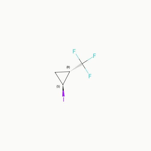 FC(F)(F)[C@H]1C[C@@H]1I